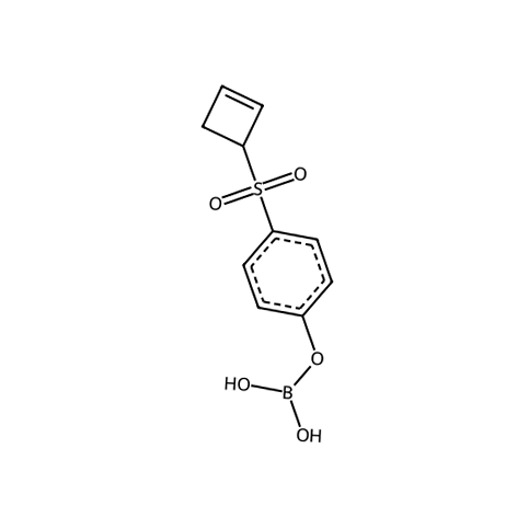 O=S(=O)(c1ccc(OB(O)O)cc1)C1C=CC1